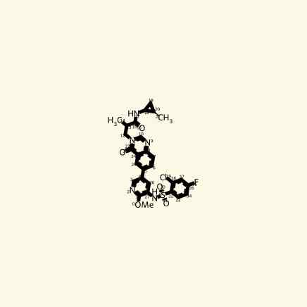 COc1ncc(-c2ccc3ncn(CC(C)C(=O)NC4C[C@@H]4C)c(=O)c3c2)cc1NS(=O)(=O)c1ccc(F)cc1Cl